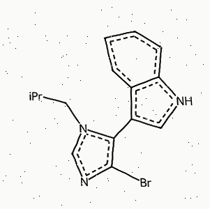 CC(C)Cn1cnc(Br)c1-c1c[nH]c2ccccc12